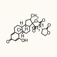 CCC(=O)O[C@]1(C(=O)S[C@H]2CCOC2=O)C(C)C[C@H]2[C@@H]3CCC4=CC(=O)C=C(O)[C@]4(C)[C@H]3CC[C@@]21C